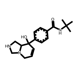 CC(C)(C)NC(=O)c1ccc(C2(O)C=CCN3CNCC32)cc1